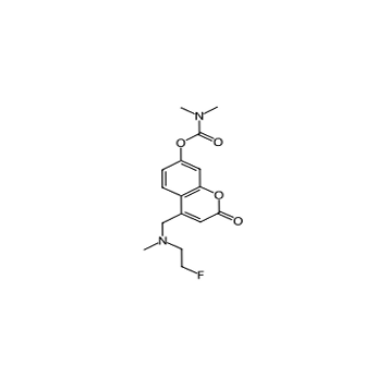 CN(CCF)Cc1cc(=O)oc2cc(OC(=O)N(C)C)ccc12